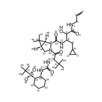 C=CCNC(=O)C(O)C(CC1CC1)NC(=O)[C@@H]1[C@@H]2[C@H](CN1C(=O)[C@@H](NC(=O)N[C@H]1CCCC[C@H]1S(=O)(=O)C(C)(C)C)C(C)(C)C)C2(C)C